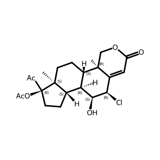 CC(=O)O[C@]1(C(C)=O)CC[C@H]2[C@@H]3[C@H](O)[C@H](Cl)C4=CC(=O)OC[C@]4(C)[C@H]3CC[C@@]21C